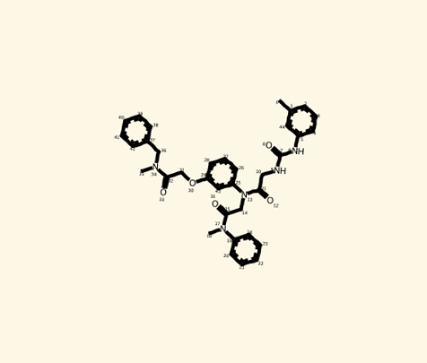 Cc1cccc(NC(=O)NCC(=O)N(CC(=O)N(C)c2ccccc2)c2cccc(OCC(=O)N(C)Cc3ccccc3)c2)c1